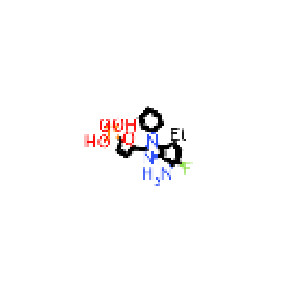 CCc1cc(F)c(N)c2nc(-c3ccc(P(=O)(O)O)o3)n(-c3ccccc3)c12